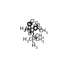 COc1cc2c(cc1OC)C(c1cc(Cl)ccc1N)NC(=O)C2CCN(C(C)C)C(C)C